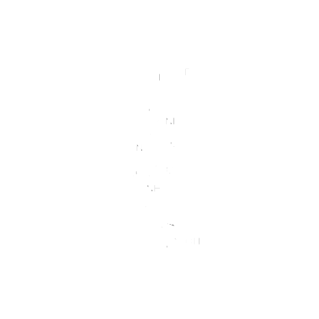 O=C(O)C[C@H]1CCCC(CNC(=O)C(=O)c2c(Cl)c(C(=O)Nc3ccc(F)c(F)c3)c3n2CCC3)C1